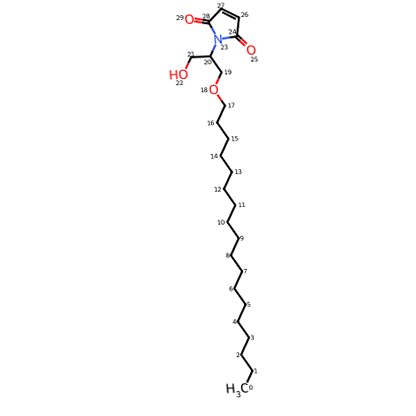 CCCCCCCCCCCCCCCCCCOCC(CO)N1C(=O)C=CC1=O